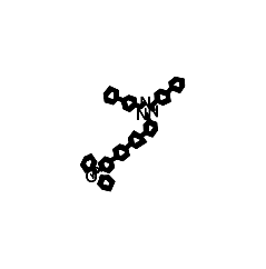 O=P(c1ccccc1)(c1ccccc1)c1ccc(-c2ccc(-c3ccc(-c4cccc(-c5nc(-c6ccc(-c7ccccc7)cc6)nc(-c6ccc(-c7ccccc7)cc6)n5)c4)cc3)cc2)cc1